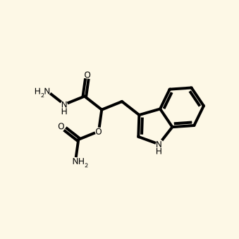 NNC(=O)C(Cc1c[nH]c2ccccc12)OC(N)=O